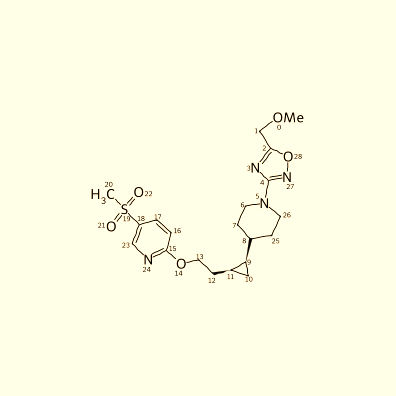 COCc1nc(N2CCC([C@H]3C[C@H]3CCOc3ccc(S(C)(=O)=O)cn3)CC2)no1